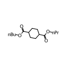 CCCCOC(=O)C1CCC(C(=O)OCCC)CC1